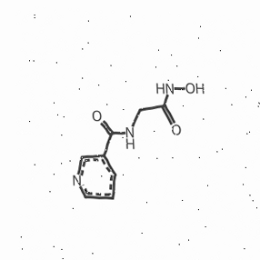 O=C(CNC(=O)c1cccnc1)NO